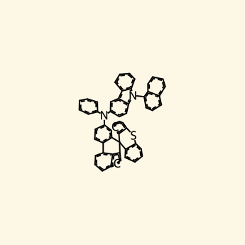 c1ccc(N(c2ccc3c(c2)C2(c4ccccc4Sc4ccccc42)c2cccc4cccc-3c24)c2ccc3c(c2)c2ccccc2n3-c2cccc3ccccc23)cc1